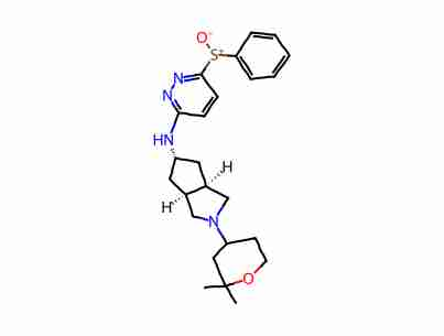 CC1(C)CC(N2C[C@H]3C[C@H](Nc4ccc([S+]([O-])c5ccccc5)nn4)C[C@H]3C2)CCO1